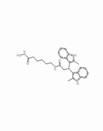 Cc1[nH]c2ccccc2c1C(CC(=O)NCCCCCC(=O)NO)c1c(C)[nH]c2ccccc12